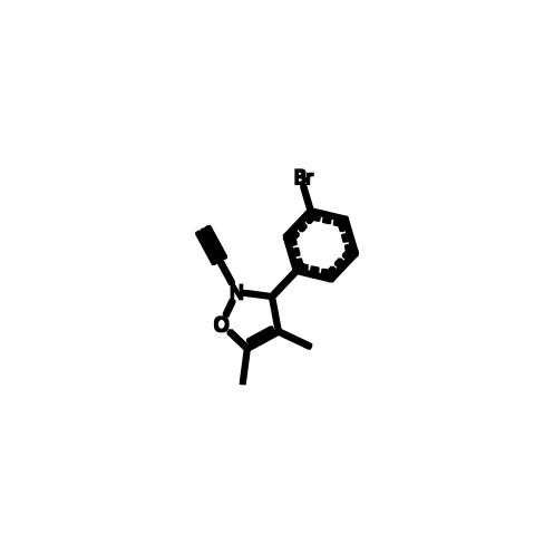 C#CN1OC(C)=C(C)C1c1cccc(Br)c1